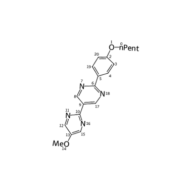 CCCCCOc1ccc(-c2ncc(-c3ncc(OC)cn3)cn2)cc1